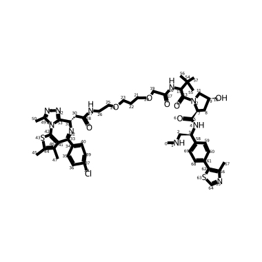 CNC[C@@H](NC(=O)[C@@H]1C[C@@H](O)CN1C(=O)C(NC(=O)COCCCOCCNC(=O)C[C@@H]1N=C(c2ccc(Cl)cc2)c2c(sc(C)c2C)-n2c(C)nnc21)C(C)(C)C)c1ccc(-c2scnc2C)cc1